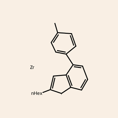 CCCCCCC1=Cc2c(cccc2-c2ccc(C)cc2)[CH]1.[Zr]